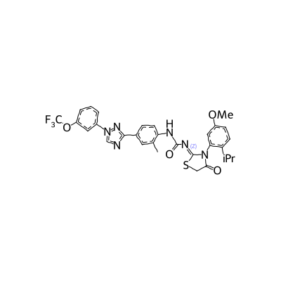 COc1ccc(C(C)C)c(N2C(=O)CS/C2=N\C(=O)Nc2ccc(-c3ncn(-c4cccc(OC(F)(F)F)c4)n3)cc2C)c1